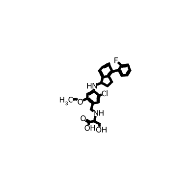 CCOc1cc(NC2CCc3c(-c4ccccc4F)cccc32)c(Cl)cc1CNC(CO)C(=O)O